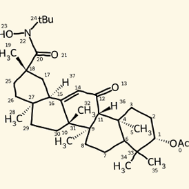 CC(=O)O[C@H]1CC[C@@]2(C)C(CC[C@]3(C)[C@@H]2C(=O)C=C2[C@@H]4C[C@@](C)(C(=O)N(O)C(C)(C)C)CC[C@]4(C)CC[C@]23C)C1(C)C